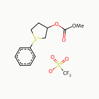 COC(=O)OC1CC[S+](c2ccccc2)C1.O=S(=O)([O-])C(F)(F)F